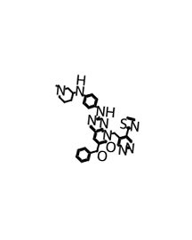 CN1CCCC(Nc2ccc(Nc3ncc4cc(C(=O)c5ccccc5)c(=O)n(Cc5cnncc5-c5nccs5)c4n3)cc2)C1